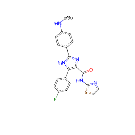 CCCCNc1ccc(-c2nc(C(=O)Nc3nccs3)c(-c3ccc(F)cc3)[nH]2)cc1